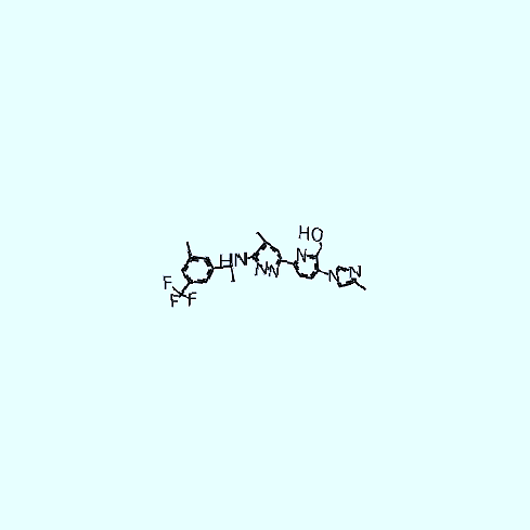 Cc1cc([C@H](C)Nc2nnc(-c3ccc(-n4cnc(C)c4)c(CO)n3)cc2C)cc(C(F)(F)F)c1